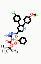 CC(C)(C)OC(=O)N(C(=N)NCc1cnc(-c2ccc(OC(F)(F)F)cc2)c(-c2ccc(Cl)cc2)c1)S(=O)(=O)c1ccccc1